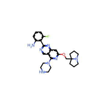 Nc1cccc(F)c1-c1ncc2c(N3CCNCC3)nc(OCC34CCCN3CCC4)cc2n1